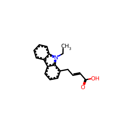 CCn1c2ccccc2c2cccc(CC=CC(=O)O)c21